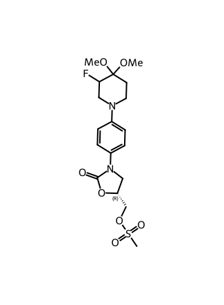 COC1(OC)CCN(c2ccc(N3C[C@H](COS(C)(=O)=O)OC3=O)cc2)CC1F